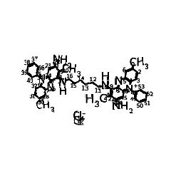 Cc1ccc2c(c1)nc1c(NCCCCCCNc3c(C)c(N)cc4c3nc3cc(C)ccc3[n+]4-c3ccccc3)c(C)c(N)cc1[n+]2-c1ccccc1.[Cl-].[Cl-]